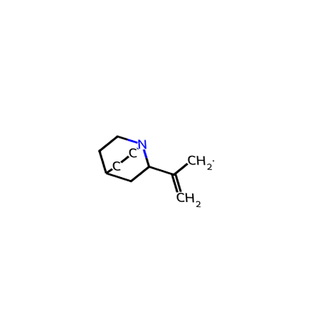 [CH2]C(=C)C1CC2CCN1CC2